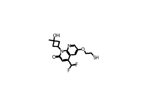 CC1(O)CC(n2c(=O)cc(C(F)F)c3cc(OCCS)cnc32)C1